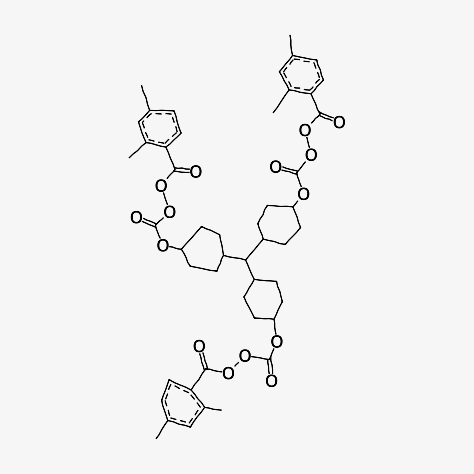 Cc1ccc(C(=O)OOC(=O)OC2CCC(C(C3CCC(OC(=O)OOC(=O)c4ccc(C)cc4C)CC3)C3CCC(OC(=O)OOC(=O)c4ccc(C)cc4C)CC3)CC2)c(C)c1